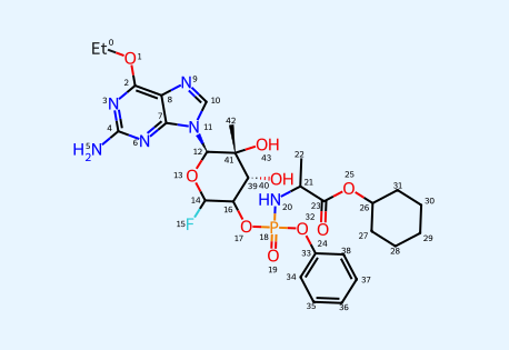 CCOc1nc(N)nc2c1ncn2[C@@H]1OC(F)C(OP(=O)(NC(C)C(=O)OC2CCCCC2)Oc2ccccc2)[C@@H](O)[C@@]1(C)O